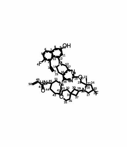 C#Cc1c(F)ccc2cc(O)cc(N3CCc4c(nc(OC[C@]5(C)C[C@@H](F)CN5C5CC6(CCOCC6)C5)nc4N4CCCCC(NC(=O)C=C)C4)C3)c12